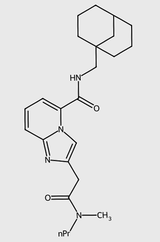 CCCN(C)C(=O)Cc1cn2c(C(=O)NCC34CCCC(CCC3)C4)cccc2n1